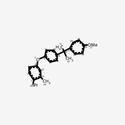 CCCc1ccc(Oc2ccc(C(C)(C)c3ccc(OC)cc3)cc2)cc1C